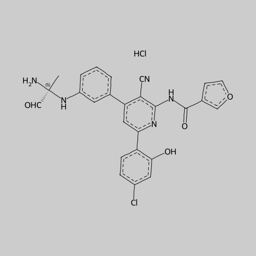 C[C@@](N)(C=O)Nc1cccc(-c2cc(-c3ccc(Cl)cc3O)nc(NC(=O)c3ccoc3)c2C#N)c1.Cl